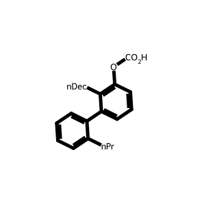 CCCCCCCCCCc1c(OC(=O)O)cccc1-c1ccccc1CCC